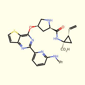 C=C[C@@H]1C[C@]1(NC(=O)[C@H]1C[C@@H](Oc2nc(-c3cccc(NC(C)C)n3)nc3ccsc23)CN1)C(=O)O